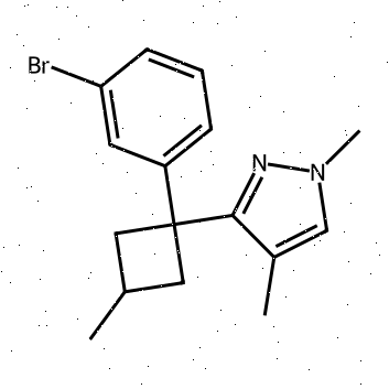 Cc1cn(C)nc1C1(c2cccc(Br)c2)CC(C)C1